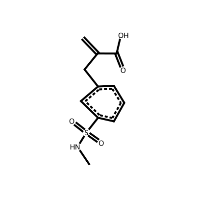 C=C(Cc1cccc(S(=O)(=O)NC)c1)C(=O)O